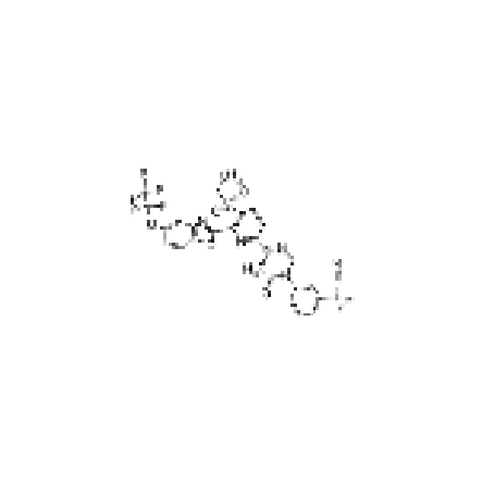 CCS(=O)(=O)c1ccc(N(C)/N=C\N(C=O)c2cccc(C3(C#N)CC3)c2)nc1-c1nc2cc(OC(F)(F)C(F)(F)F)ccc2o1